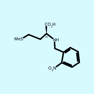 CSCC[C@H](NCc1ccccc1[N+](=O)[O-])C(=O)O